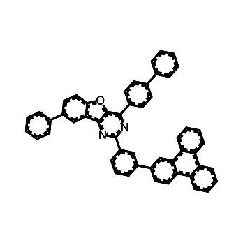 c1ccc(-c2ccc(-c3nc(-c4cccc(-c5ccc6c7ccccc7c7ccccc7c6c5)c4)nc4c3oc3ccc(-c5ccccc5)cc34)cc2)cc1